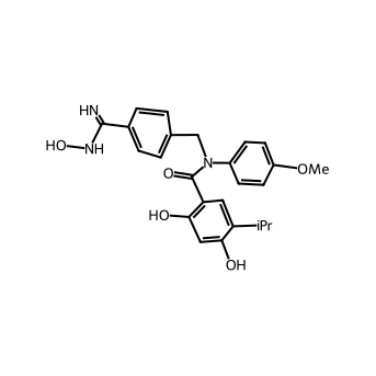 COc1ccc(N(Cc2ccc(C(=N)NO)cc2)C(=O)c2cc(C(C)C)c(O)cc2O)cc1